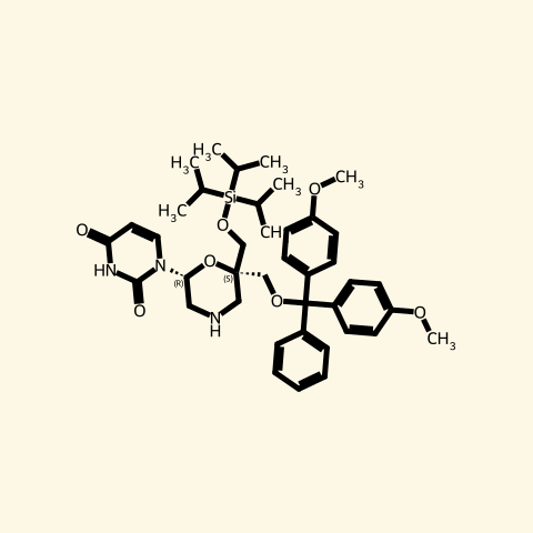 COc1ccc(C(OC[C@]2(CO[Si](C(C)C)(C(C)C)C(C)C)CNC[C@H](n3ccc(=O)[nH]c3=O)O2)(c2ccccc2)c2ccc(OC)cc2)cc1